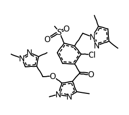 Cc1cc(C)n(Cc2c(S(C)(=O)=O)ccc(C(=O)c3c(C)nn(C)c3OCc3cn(C)nc3C)c2Cl)n1